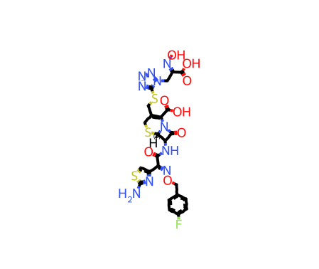 Nc1nc(C(=NOCc2ccc(F)cc2)C(=O)NC2C(=O)N3C(C(=O)O)=C(CSc4nnnn4CC(=NO)C(=O)O)CS[C@@H]23)cs1